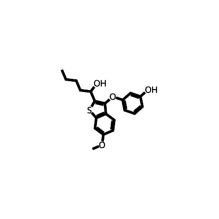 CCCCC(O)c1sc2cc(OC)ccc2c1Oc1cccc(O)c1